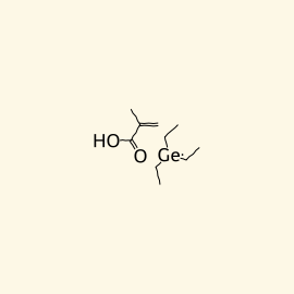 C=C(C)C(=O)O.C[CH2][Ge]([CH2]C)[CH2]C